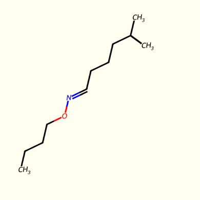 CCCCO/N=C/CCCC(C)C